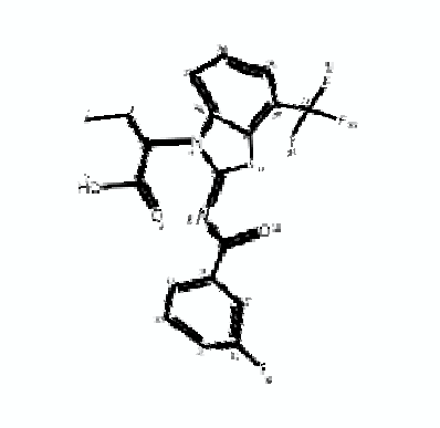 CCC(C(=O)O)n1/c(=N/C(=O)c2cccc(F)c2)sc2c(C(F)(F)F)cccc21